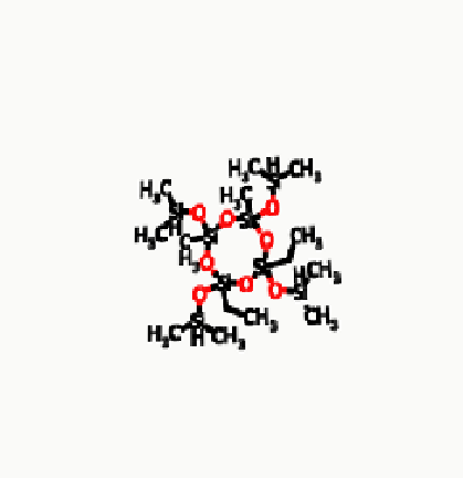 CC[Si]1(O[SiH](C)C)O[Si](C)(O[SiH](C)C)O[Si](C)(O[SiH](C)C)O[Si](CC)(O[SiH](C)C)O1